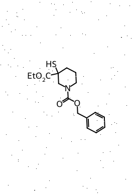 CCOC(=O)C1(S)CCCN(C(=O)OCc2ccccc2)C1